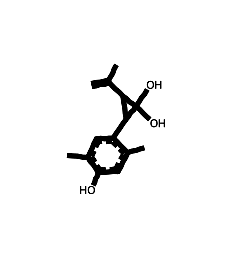 C=C(C)C1C(c2cc(C)c(O)cc2C)C1(O)O